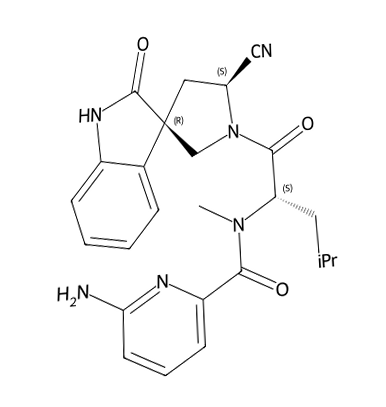 CC(C)C[C@@H](C(=O)N1C[C@]2(C[C@H]1C#N)C(=O)Nc1ccccc12)N(C)C(=O)c1cccc(N)n1